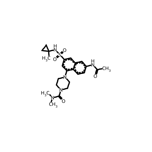 CC(=O)Nc1ccc2c(N3CCN(C(=O)N(C)C)CC3)cc(S(=O)(=O)NC3(C)CC3)cc2c1